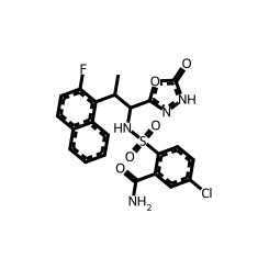 CC(c1c(F)ccc2ccccc12)C(NS(=O)(=O)c1ccc(Cl)cc1C(N)=O)c1n[nH]c(=O)o1